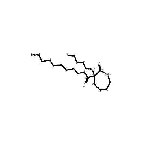 CCCCCCCCCCC(=O)C1(OCCCCC)CCCCNC1=O